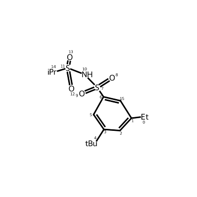 CCc1cc(C(C)(C)C)cc(S(=O)(=O)NS(=O)(=O)C(C)C)c1